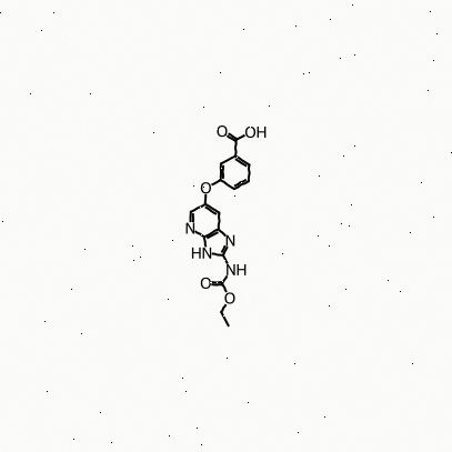 CCOC(=O)Nc1nc2cc(Oc3cccc(C(=O)O)c3)cnc2[nH]1